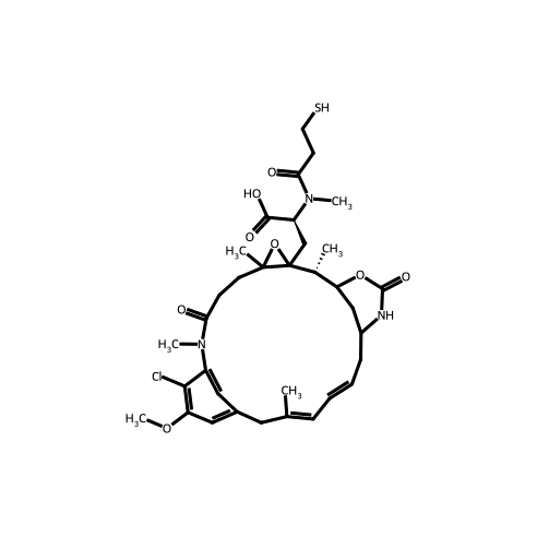 COc1cc2cc(c1Cl)N(C)C(=O)CCC1(C)OC1(C[C@@H](C(=O)O)N(C)C(=O)CCS)[C@H](C)C1CC(C/C=C/C=C(\C)C2)NC(=O)O1